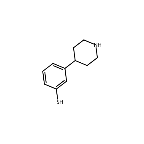 Sc1cccc(C2CCNCC2)c1